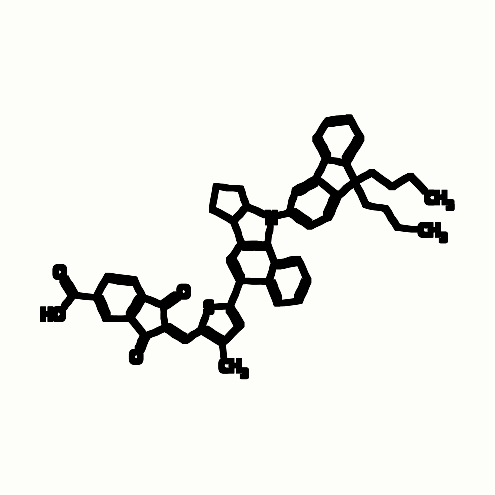 CCCCC1(CCCC)c2ccccc2-c2cc(N3c4c(cc(-c5cc(C)c(/C=C6\C(=O)c7ccc(C(=O)O)cc7C6=O)s5)c5ccccc45)C4CCCC43)ccc21